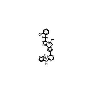 Cn1nccc1Nc1ncnc(-c2cc3n(c2)C[C@H](CF)n2c-3nnc2C(F)(F)c2ccccc2Cl)n1